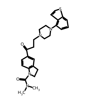 CN(C)C(=O)N1CCc2cc(C(=O)CCN3CCN(c4cccc5sccc45)CC3)ccc21